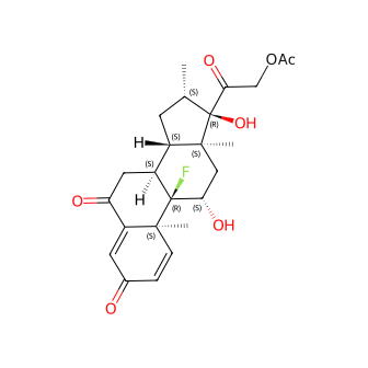 CC(=O)OCC(=O)[C@@]1(O)[C@@H](C)C[C@H]2[C@@H]3CC(=O)C4=CC(=O)C=C[C@]4(C)[C@@]3(F)[C@@H](O)C[C@@]21C